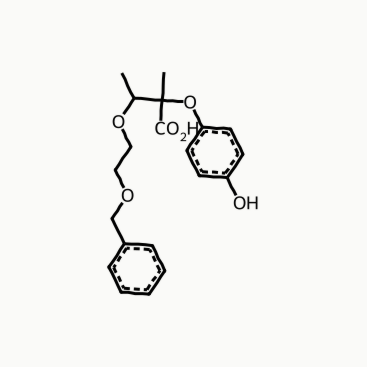 CC(OCCOCc1ccccc1)C(C)(Oc1ccc(O)cc1)C(=O)O